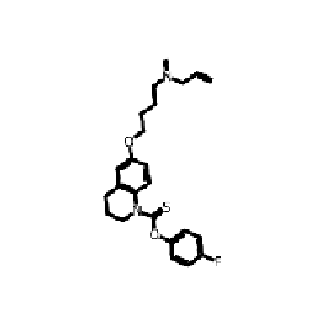 C=CCN(C)CCCCOc1ccc2c(c1)CCCN2C(=S)Oc1ccc(F)cc1